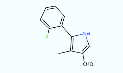 Cc1c(C=O)c[nH]c1-c1ccccc1F